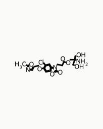 Cc1ncc(COc2cc3oc(=O)n(CCC(=O)OCC(N)(CO)CO)c3cc2Cl)o1